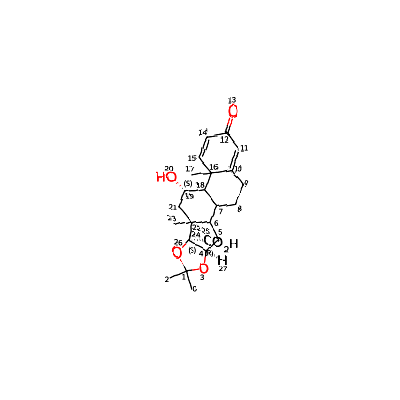 CC1(C)O[C@@H]2CC3C4CCC5=CC(=O)C=CC5(C)C4[C@@H](O)CC3(C)[C@]2(C(=O)O)O1